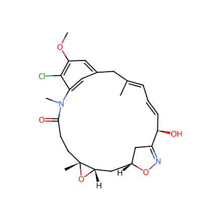 COc1cc2cc(c1Cl)N(C)C(=O)CC[C@@]1(C)O[C@H]1C[C@@H]1CC(=NO1)[C@H](O)/C=C/C=C(\C)C2